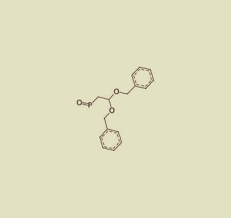 O=PCC(OCc1ccccc1)OCc1ccccc1